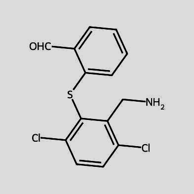 NCc1c(Cl)ccc(Cl)c1Sc1ccccc1C=O